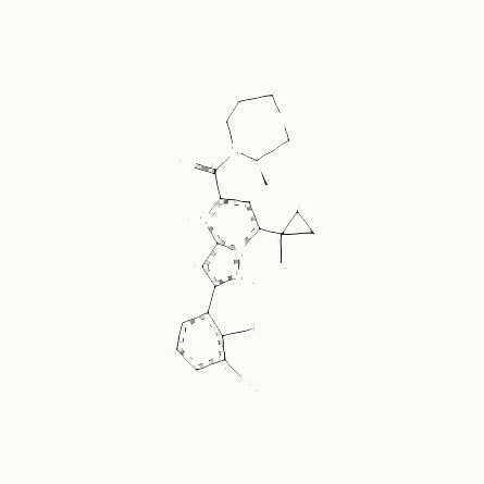 C[C@@H]1CCCCCN1C(=O)c1cc(C2(C)CC2)n2nc(-c3cccc(Br)c3F)cc2n1